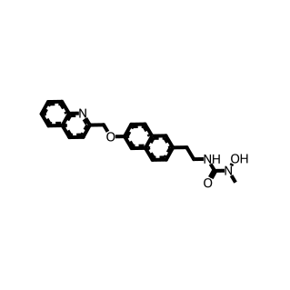 CN(O)C(=O)NCCc1ccc2cc(OCc3ccc4ccccc4n3)ccc2c1